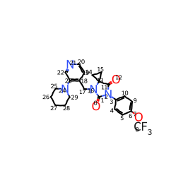 O=C1N(c2ccc(OC(F)(F)F)cc2)C(=O)C2(CC2)N1Cc1ccncc1N1CCCCC1